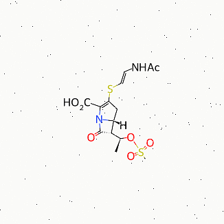 CC(=O)NC=CSC1=C(C(=O)O)N2C(=O)[C@@H]([C@H](C)OS(C)(=O)=O)[C@H]2C1